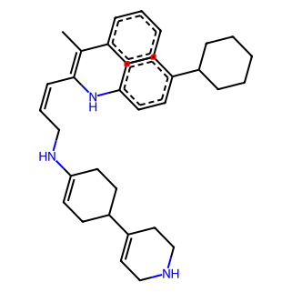 C/C(=C(\C=C/CNC1=CCC(C2=CCNCC2)CC1)Nc1ccc(C2CCCCC2)cc1)c1ccccc1